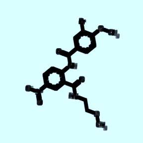 COCCNC(=O)c1cc([N+](=O)[O-])ccc1NC(=O)c1ccc(OC)c(Br)c1